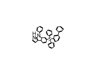 C1=CC2c3cc[nH]c3N(c3ccccc3)C2C=C1S(c1ccccc1)(c1ccccc1)c1cccc(-c2ccccc2)c1